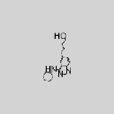 OCCCCc1ccc2ncnc(NC3CCCCC3)c2c1